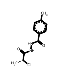 Cc1ccc(C(=O)NNC(=O)[C@@H](C)Cl)cc1